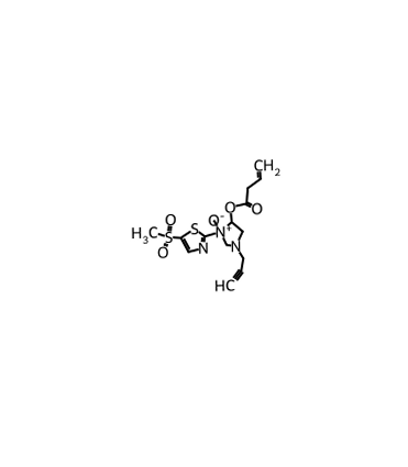 C#CCN1CC(OC(=O)CC=C)[N+]([O-])(c2ncc(S(C)(=O)=O)s2)C1